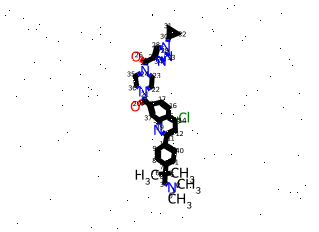 CN(C)CC(C)(C)c1ccc(-c2cc(Cl)c3ccc(C(=O)N4CCN(C(=O)c5cn(C6CC6)nn5)CC4)cc3n2)cc1